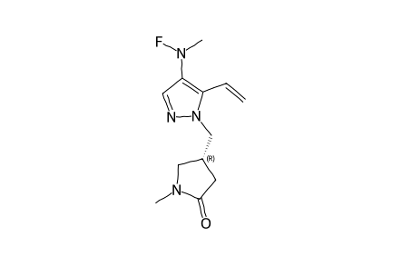 C=Cc1c(N(C)F)cnn1C[C@@H]1CC(=O)N(C)C1